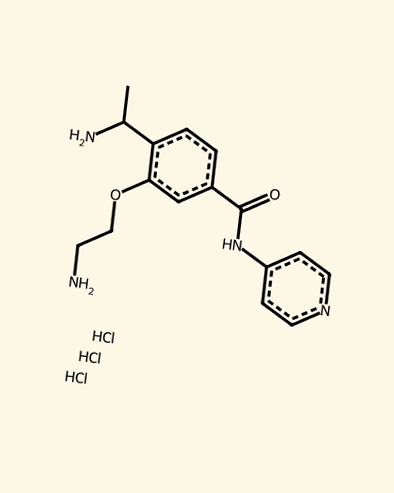 CC(N)c1ccc(C(=O)Nc2ccncc2)cc1OCCN.Cl.Cl.Cl